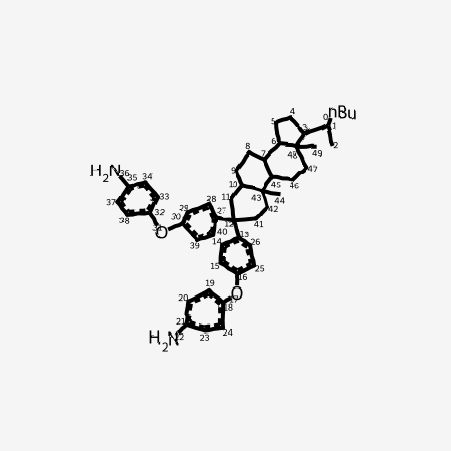 CCCCC(C)C1CCC2C3CCC4CC(c5ccc(Oc6ccc(N)cc6)cc5)(c5ccc(Oc6ccc(N)cc6)cc5)CCC4(C)C3CCC12C